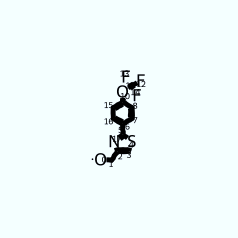 [O]Cc1csc(-c2ccc(OC(F)(F)F)cc2)n1